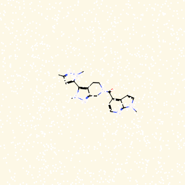 Cn1nc(C(F)(F)F)cc1-c1c2c(nn1C)CN(C(=O)c1ccnc3c1ccn3C)CC2